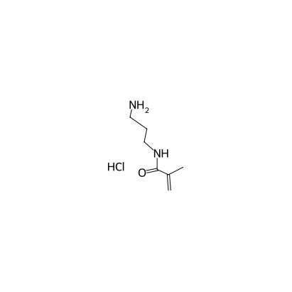 C=C(C)C(=O)NCCCN.Cl